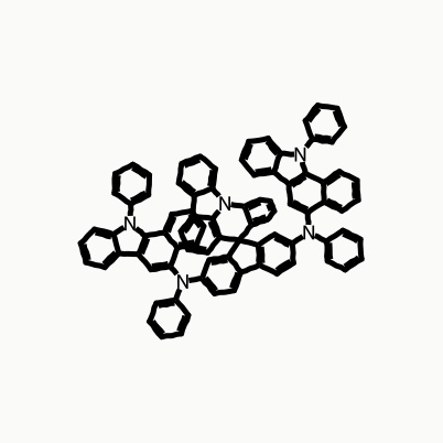 c1ccc(N(c2ccc3c(c2)C2(c4cc(N(c5ccccc5)c5cc6c7ccccc7n(-c7ccccc7)c6c6ccccc56)ccc4-3)c3ccccc3-n3c4ccccc4c4cccc2c43)c2cc3c4ccccc4n(-c4ccccc4)c3c3ccccc23)cc1